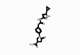 NC(=O)C1CC(=O)N(c2ccc(CC(=O)Nc3cc(C4CC4)[nH]n3)cc2)C1